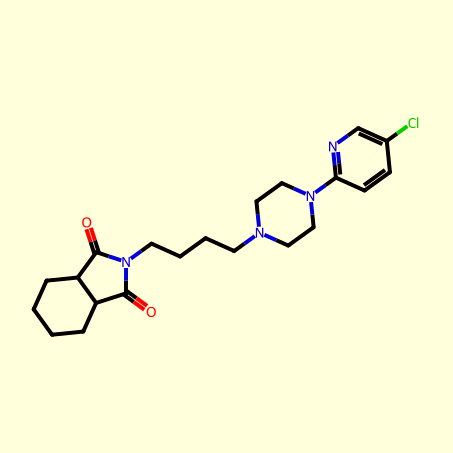 O=C1C2CCCCC2C(=O)N1CCCCN1CCN(c2ccc(Cl)cn2)CC1